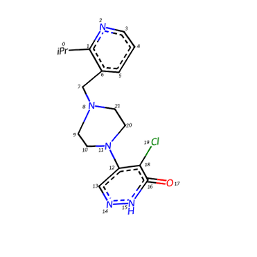 CC(C)c1ncccc1CN1CCN(c2cn[nH]c(=O)c2Cl)CC1